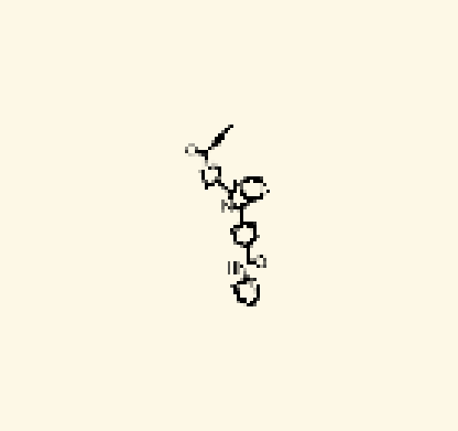 CC#CC(=O)N1CCC(c2nc(-c3ccc(C(=O)Nc4ccccn4)cc3)c3cnccn23)C1